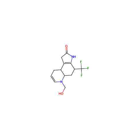 O=C1CC2=C(N1)C(C(F)(F)F)CC1C2CC=CN1CO